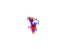 CC(C)Oc1ccccc1[C@@H]1CN([C@H]2COc3c(F)cc(F)cc3C2)CCN1C1CC2(CCN(c3ccc(C(=O)NS(=O)(=O)c4cc5c(c([N+](=O)[O-])c4)N[C@H](C4CCOCC4)CO5)c(N4c5cc6cc[nH]c6nc5O[C@H]5COCC[C@@H]54)c3)CC2)C1